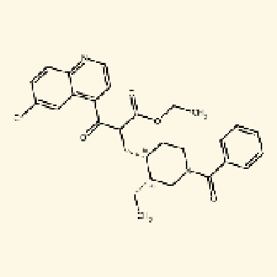 CCOC(=O)C(C[C@@H]1CCN(C(=O)c2ccccc2)C[C@@H]1CC)C(=O)c1ccnc2ccc(Cl)cc12